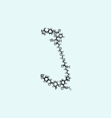 Cc1ncsc1-c1ccc(CNC(=O)[C@@H]2CCCN2C(=O)[C@@H](NC(=O)CCOCCOCCOCCC(=O)NCCCCn2cnc(-c3cnc(O[C@@H]4CCN(C(=O)Cc5ccc(OC(F)(F)F)cc5)C[C@H]4F)c(C(N)=O)c3)c2)C(C)(C)C)cc1